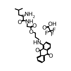 CC(C)C[C@H](N)C(=O)NCC(=O)OCCCNc1cccc2c1C(=O)c1ccccc1C2=O.O=C(O)C(F)(F)F